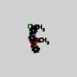 CCOC(=O)C1(CCOc2ccccc2)CCN(Cc2ccc(C)c(Cl)c2)CC1